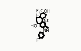 CC[C@@]12CC[C@](O)(C(F)(F)F)C[C@H]1CC[C@@H](O)c1cc3c(cnn3-c3ccc(F)cc3)cc12